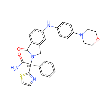 NC(=O)[C@](c1ccccc1)(c1nccs1)N1Cc2cc(Nc3ccc(N4CCOCC4)cc3)ccc2C1=O